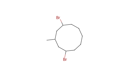 CC1CC(Br)CCCCCC(Br)C1